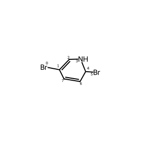 BrC1=CNC(Br)C=C1